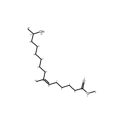 COC(=O)CCCCC=C(C)CCCCCCC(C)O